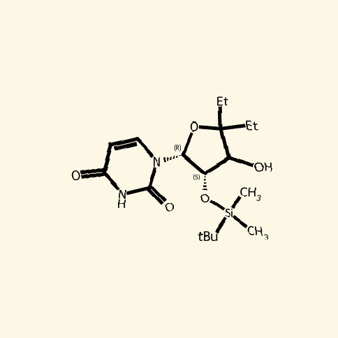 CCC1(CC)O[C@@H](n2ccc(=O)[nH]c2=O)[C@@H](O[Si](C)(C)C(C)(C)C)C1O